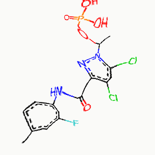 Cc1ccc(NC(=O)c2nn(C(C)OP(=O)(O)O)c(Cl)c2Cl)c(F)c1